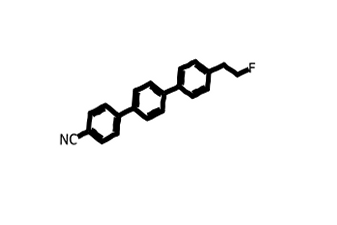 N#Cc1ccc(-c2ccc(-c3ccc(CCF)cc3)cc2)cc1